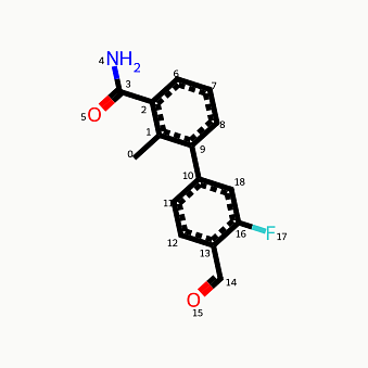 Cc1c(C(N)=O)cccc1-c1ccc(C=O)c(F)c1